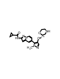 Cn1ncc(OC[C@H]2CNCCO2)c1-c1ccn2nc(NC(=O)C3CC3)cc2c1